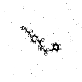 CC(C)(C)CC(=O)ON1CCN(C(=O)CCNC(=O)OCc2ccccc2)CC1